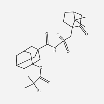 C=C(OC12CC3CC(C1)CC(C(=O)NS(=O)(=O)CC14CCC(CC1=O)C4(C)C)(C3)C2)C(C)(C)CC